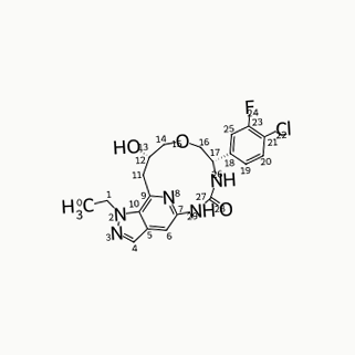 CCn1ncc2cc3nc(c21)C[C@H](O)COC[C@H](c1ccc(Cl)c(F)c1)NC(=O)N3